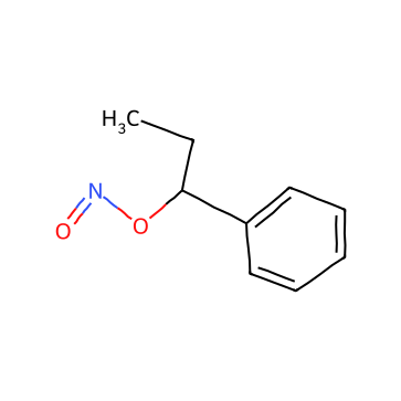 CCC(ON=O)c1ccccc1